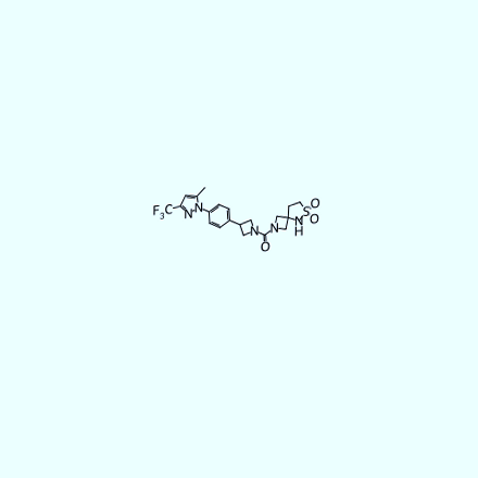 Cc1cc(C(F)(F)F)nn1-c1ccc(C2CN(C(=O)N3CC4(CCS(=O)(=O)N4)C3)C2)cc1